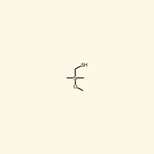 CO[Si](C)(C)CS